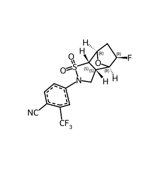 N#Cc1ccc(N2C[C@H]3[C@H]4O[C@H](C[C@H]4F)[C@H]3S2(=O)=O)cc1C(F)(F)F